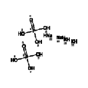 O=P(O)(O)O.O=P(O)(O)O.[KH].[KH].[NaH].[NaH]